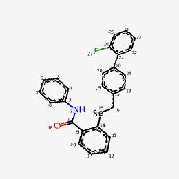 O=C(Nc1ccccc1)c1ccccc1[Se]Cc1ccc(-c2ccccc2F)cc1